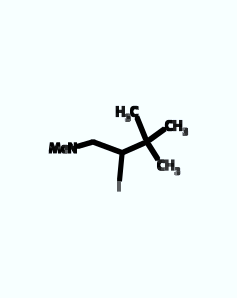 CNCC(I)C(C)(C)C